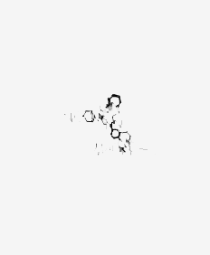 COC(=O)N1c2ccc3c(nc(CCn4ccccc4=O)n3CC(=O)N3CCC(C#N)CC3)c2CC[C@@H]1C